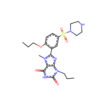 CCCOc1ccc(S(=O)(=O)N2CCNCC2)cc1-c1nc2c(c(=O)[nH]c(=O)n2CCC)n1C